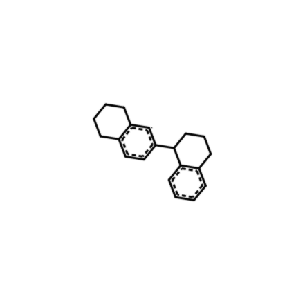 [c]1c(C2CCCc3ccccc32)ccc2c1CCCC2